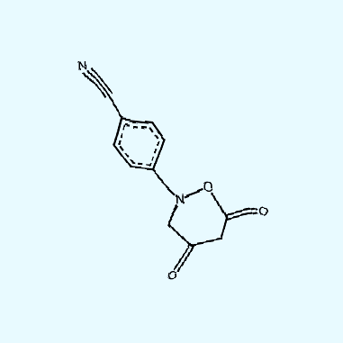 N#Cc1ccc(N2CC(=O)CC(=O)O2)cc1